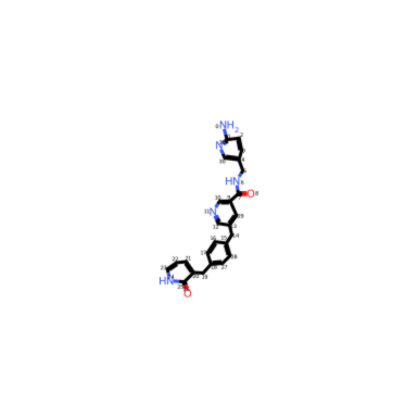 Nc1ccc(CNC(=O)c2cncc(Cc3ccc(Cc4ccc[nH]c4=O)cc3)c2)cn1